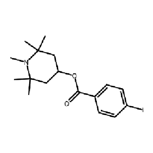 CN1C(C)(C)CC(OC(=O)c2ccc(I)cc2)CC1(C)C